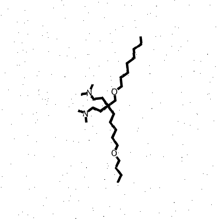 CCCCCCCCOCC(CCCCCOCCCC)(CCN(C)C)CCN(C)C